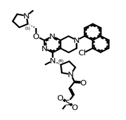 CN1CCC[C@H]1COc1nc2c(c(N(C)[C@@H]3CCN(C(=O)C=CS(C)(=O)=O)C3)n1)CCN(c1cccc3cccc(Cl)c13)C2